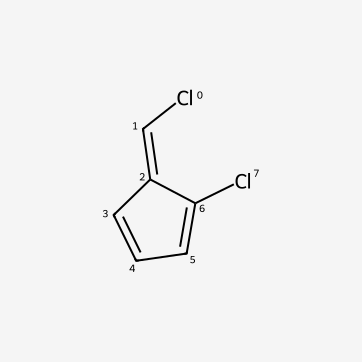 ClC=C1C=CC=C1Cl